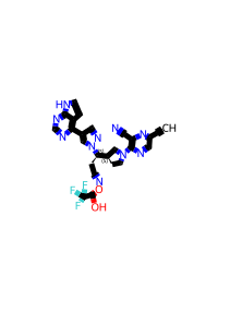 C#Cc1cnc(N2CC[C@H]([C@H](CC#N)n3cc(-c4ncnc5[nH]ccc45)cn3)C2)c(C#N)n1.O=C(O)C(F)(F)F